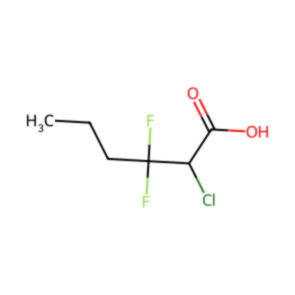 CCCC(F)(F)C(Cl)C(=O)O